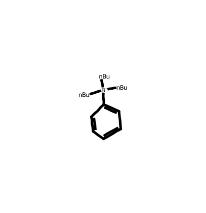 CCCC[B-](CCCC)(CCCC)c1ccccc1